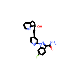 NC(=O)c1nn(-c2cc(C#C[C@]3(O)CCc4cccnc43)ccn2)c2cc(F)ccc12